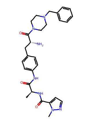 C[C@H](NC(=O)c1ccnn1C)C(=O)Nc1ccc(C[C@@H](N)C(=O)N2CCN(Cc3ccccc3)CC2)cc1